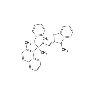 C=C(/C=C1\Oc2ccccc2N1C)C(C)(Cc1ccccc1)c1c(C)ccc2ccccc12